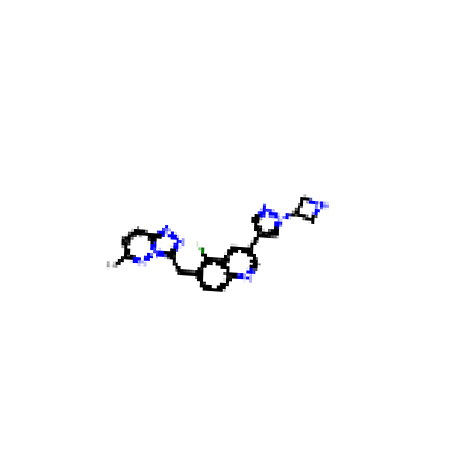 CCc1ccc2nnc(Cc3ccc4ncc(-c5cnn(C6CNC6)c5)cc4c3F)n2n1